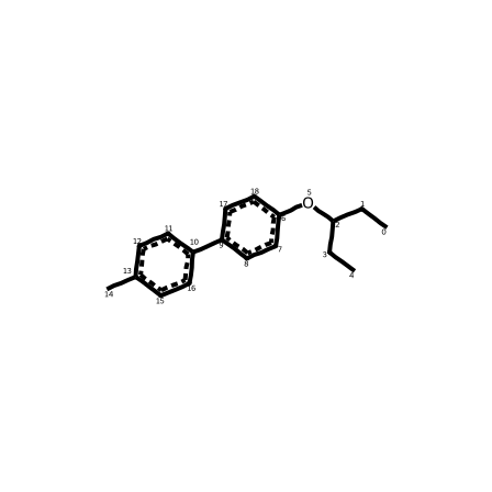 CCC(CC)Oc1ccc(-c2ccc(C)cc2)cc1